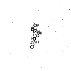 Cc1cc(F)cc(-c2nccc3[nH]c(-c4n[nH]c5ccc(-c6cncc(NC(=O)CC7CCCCC7)c6)nc45)nc23)c1